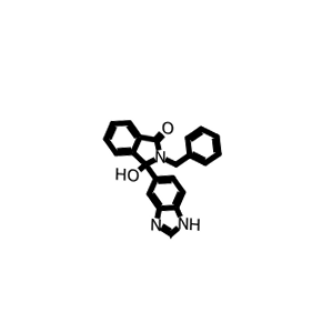 O=C1c2ccccc2C(O)(c2ccc3[nH][c]nc3c2)N1Cc1ccccc1